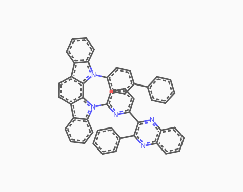 c1ccc(-c2ccc(-n3c4ccccc4c4ccc5c6ccccc6n(-c6cccc(-c7nc8ccccc8nc7-c7ccccc7)n6)c5c43)cc2)cc1